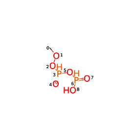 COO[PH](=O)O[PH](=O)O